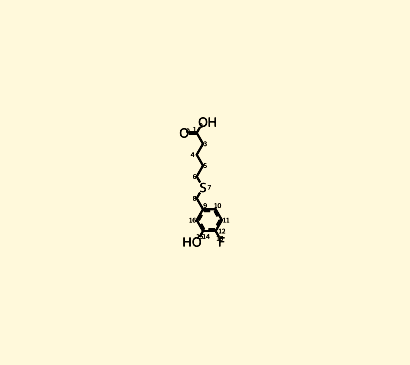 O=C(O)CCCCSCc1ccc(F)c(O)c1